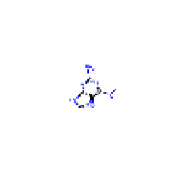 Nc1nc(NI)c2nc[nH]c2n1